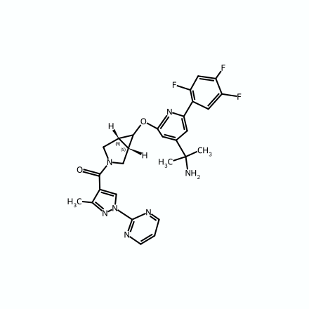 Cc1nn(-c2ncccn2)cc1C(=O)N1C[C@@H]2C(Oc3cc(C(C)(C)N)cc(-c4cc(F)c(F)cc4F)n3)[C@@H]2C1